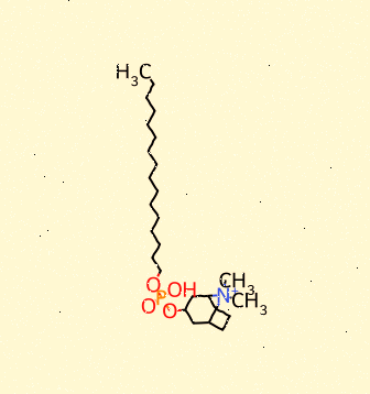 CCCCCCCCCCCCCCCCOP(=O)(O)OC1CC2CCC23C(C1)[N+]3(C)C